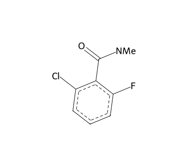 CNC(=O)c1c(F)cccc1Cl